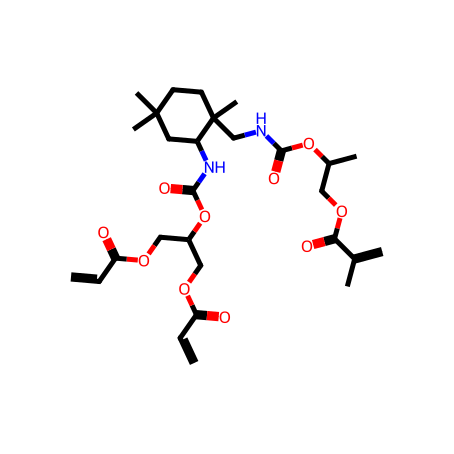 C=CC(=O)OCC(COC(=O)C=C)OC(=O)NC1CC(C)(C)CCC1(C)CNC(=O)OC(C)COC(=O)C(=C)C